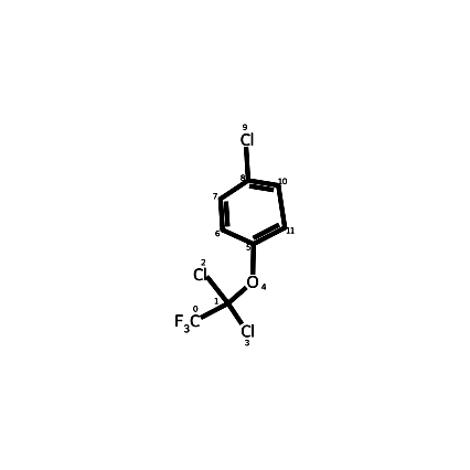 FC(F)(F)C(Cl)(Cl)Oc1ccc(Cl)cc1